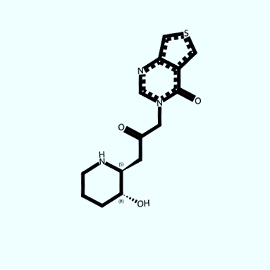 O=C(C[C@@H]1NCCC[C@H]1O)Cn1cnc2cscc2c1=O